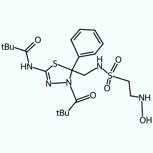 CC(C)(C)C(=O)NC1=NN(C(=O)C(C)(C)C)C(CNS(=O)(=O)CCNO)(c2ccccc2)S1